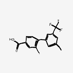 Cc1cc(-c2ccc(C(=O)O)cc2I)cc(C(F)(F)F)c1